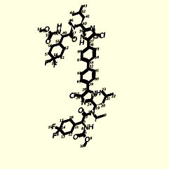 CCN(C(=O)[C@@H](NC(=O)OC)C1CCC(F)(F)CC1)[C@@H](CC(C)C)c1nc(Cl)c(-c2ccc(-c3ccc(-c4[nH]c([C@H](CC(C)C)N(C)C(=O)[C@@H](NC(=O)OC)C5CCC(F)(F)CC5)nc4Cl)cc3)cc2)[nH]1